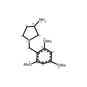 COc1cc(OC)c(CN2CCC(N)C2)c(OC)c1